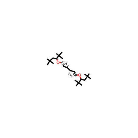 CC(C)(C)CC(O[SiH2]CCCC[SiH2]OC(CC(C)(C)C)C(C)(C)C)C(C)(C)C